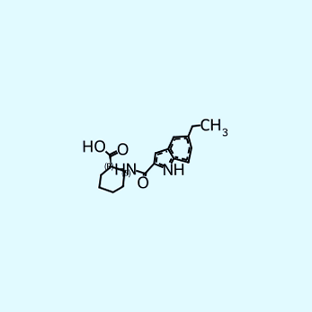 CCc1ccc2[nH]c(C(=O)N[C@H]3CCCC[C@H]3C(=O)O)cc2c1